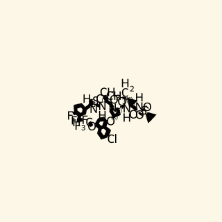 C=C[C@@H]1C[C@]1(NC(=O)[C@@H]1C[C@@H](Oc2ccc(OC)c3ccc(Cl)cc23)CN1C(=O)[C@@H](Nc1nc(-c2ccc(F)c(C(F)(F)F)c2)cs1)C(C)(C)C)C(=O)NS(=O)(=O)C1CC1